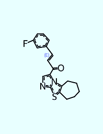 O=C(/C=C/c1cccc(F)c1)c1cnc2sc3c(n12)CCCCC3